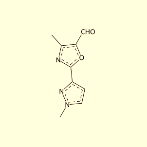 Cc1nc(-c2ccn(C)n2)oc1C=O